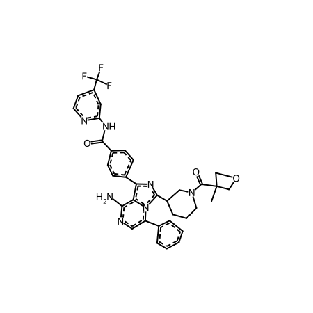 CC1(C(=O)N2CCCC(c3nc(-c4ccc(C(=O)Nc5cc(C(F)(F)F)ccn5)cc4)c4c(N)ncc(-c5ccccc5)n34)C2)COC1